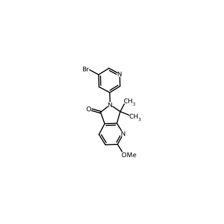 COc1ccc2c(n1)C(C)(C)N(c1cncc(Br)c1)C2=O